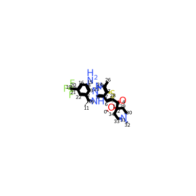 COC1(C(=O)c2cc3c(N[C@H](C)c4cc(N)cc(C(F)(F)F)c4)nnc(C)c3s2)CCN(C)CC1